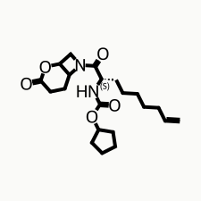 C=CCCCCC[C@H](NC(=O)OC1CCCC1)C(=O)N1CC2OC(=O)CCC21